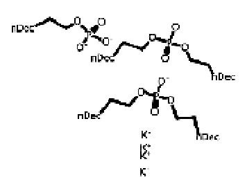 CCCCCCCCCCCCOP(=O)([O-])OCCCCCCCCCCCC.CCCCCCCCCCCCOP(=O)([O-])OCCCCCCCCCCCC.CCCCCCCCCCCCOP(=O)([O-])[O-].[K+].[K+].[K+].[K+]